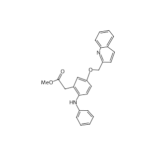 COC(=O)Cc1cc(OCc2ccc3ccccc3n2)ccc1Nc1ccccc1